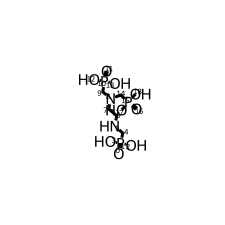 O=P(O)(O)CNCCN(CP(=O)(O)O)CP(=O)(O)O